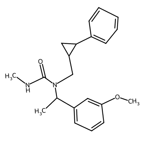 CNC(=O)N(CC1CC1c1ccccc1)C(C)c1cccc(OC)c1